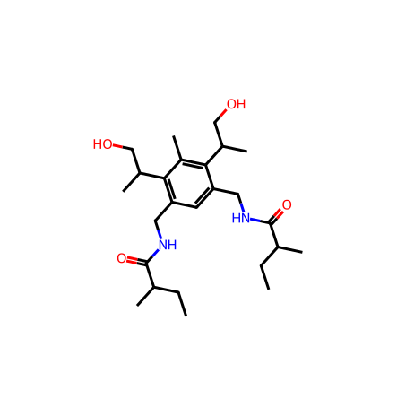 CCC(C)C(=O)NCc1cc(CNC(=O)C(C)CC)c(C(C)CO)c(C)c1C(C)CO